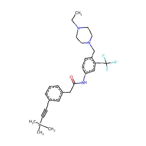 CCN1CCN(Cc2ccc(NC(=O)Cc3cccc(C#C[Si](C)(C)C)c3)cc2C(F)(F)F)CC1